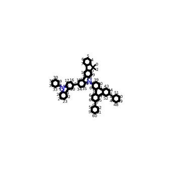 CC1(C)c2ccccc2-c2cc3c4cc(-c5ccc6c(c5)c5ccccc5n6-c5ccccc5)ccc4n(-c4ccc5c6ccc(-c7ccccc7)cc6c6cc(-c7ccccc7)ccc6c5c4)c3cc21